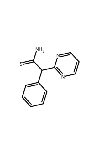 NC(=S)C(c1ccccc1)c1ncccn1